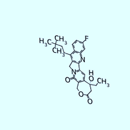 CC[C@@]1(O)CC(=O)OCc2c1cc1n(c2=O)Cc2c-1nc1cc(F)ccc1c2CCC(C)(C)C